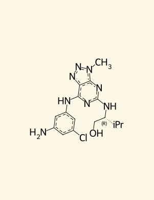 CC(C)[C@H](CO)Nc1nc(Nc2cc(N)cc(Cl)c2)c2nnn(C)c2n1